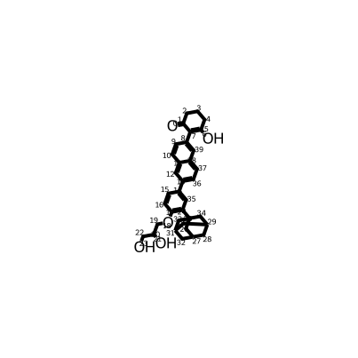 O=C1CCCC(O)=C1c1ccc2cc(-c3ccc(OCC(O)CO)c(C45CC6CC(CC(C6)C4)C5)c3)ccc2c1